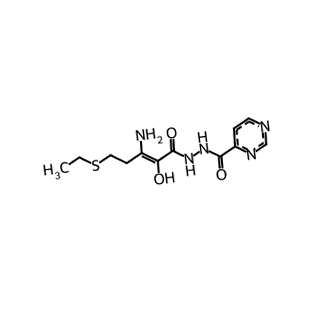 CCSCCC(N)=C(O)C(=O)NNC(=O)c1ccncn1